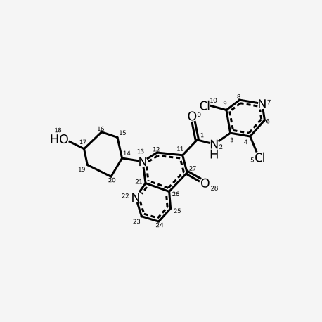 O=C(Nc1c(Cl)cncc1Cl)c1cn(C2CCC(O)CC2)c2ncccc2c1=O